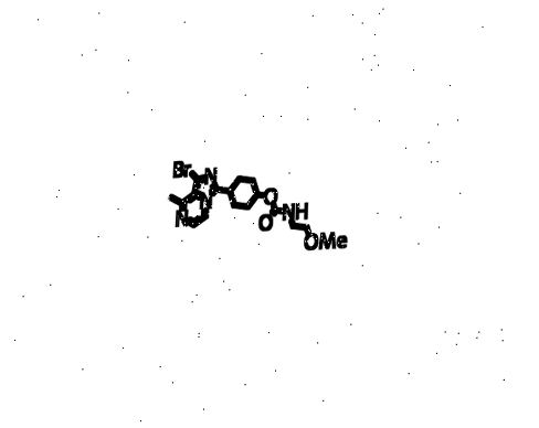 COCCNC(=O)OC1CCC(c2nc(Br)c3c(C)nccn23)CC1